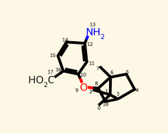 CC1(C)C2CCC1(C)C(Oc1cc(N)ccc1C(=O)O)C2